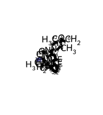 C=CC(=O)N1[C@H](C)CN(c2nc(=O)n([C@@H](/C(C)=C\C)[C@@H](N=C)C(C)C)c3nc(-c4c(N)cccc4F)c(F)cc23)C[C@@H]1C